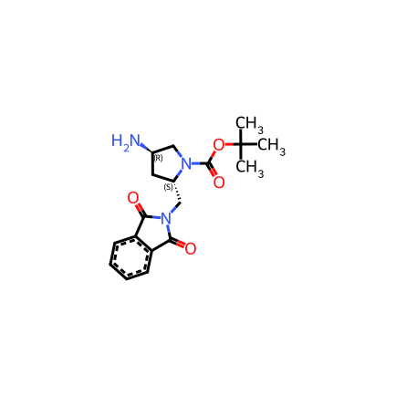 CC(C)(C)OC(=O)N1C[C@H](N)C[C@H]1CN1C(=O)c2ccccc2C1=O